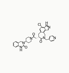 O=C(C[C@@H]1Cc2cc(Cl)c3[nH]ncc3c2CN(Cc2ccncc2)C1=O)N1CCC(N2Cc3ccccc3NC2=O)CC1